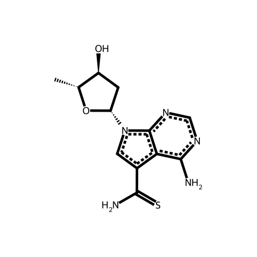 C[C@H]1O[C@@H](n2cc(C(N)=S)c3c(N)ncnc32)C[C@@H]1O